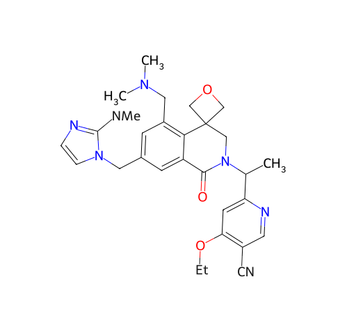 CCOc1cc(C(C)N2CC3(COC3)c3c(CN(C)C)cc(Cn4ccnc4NC)cc3C2=O)ncc1C#N